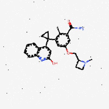 Cc1c(C(N)=O)cc(OCC2CCN2C)cc1C1(c2cc(O)nc3ccccc23)CC1